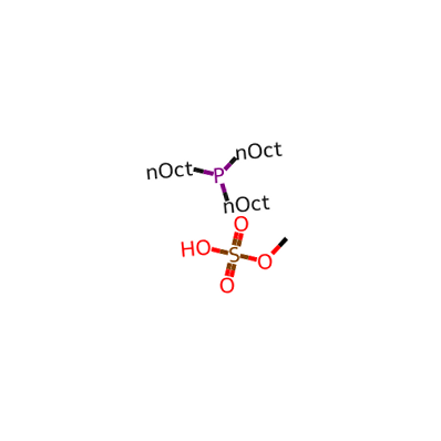 CCCCCCCCP(CCCCCCCC)CCCCCCCC.COS(=O)(=O)O